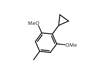 COc1cc(C)cc(OC)c1C1CC1